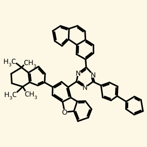 CC1(C)CCC(C)(C)c2cc(-c3cc(-c4nc(-c5ccc(-c6ccccc6)cc5)nc(-c5ccc6ccc7ccccc7c6c5)n4)c4c(c3)oc3ccccc34)ccc21